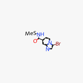 CSNC(=O)c1ccn2c(Br)cnc2c1